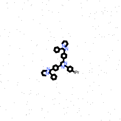 CC(C)c1ccc(-c2nc(-c3ccc(-c4nc5ccccn5c4-c4ccccc4)cc3)cc(-c3ccc(-c4nc5ccccn5c4-c4ccccc4)cc3)n2)cc1